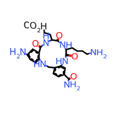 NCCCCC1NC(=O)C(CCC(=O)O)NC(=O)c2cc(N)ccc2NCc2ccc(C(N)=O)cc2NC1=O